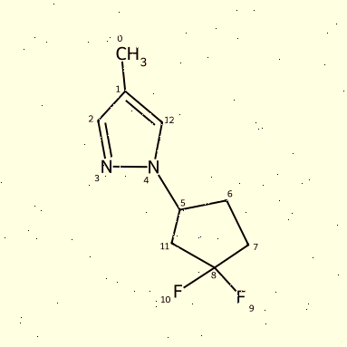 Cc1cnn(C2CCC(F)(F)C2)c1